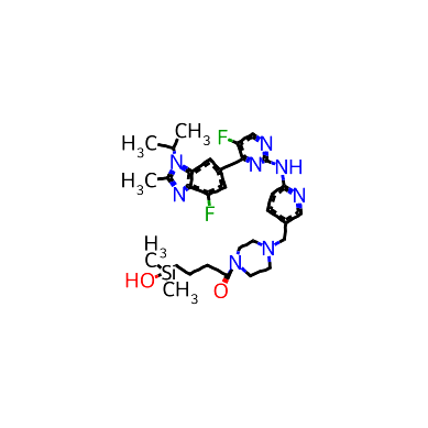 Cc1nc2c(F)cc(-c3nc(Nc4ccc(CN5CCN(C(=O)CCC[Si](C)(C)O)CC5)cn4)ncc3F)cc2n1C(C)C